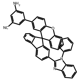 N#Cc1cc(N)cc(-c2ccc3c(c2)C2(c4ccccc4O3)c3ccccc3-c3ccc(-c4nc5ccccc5n4-c4ccccc4)cc32)c1